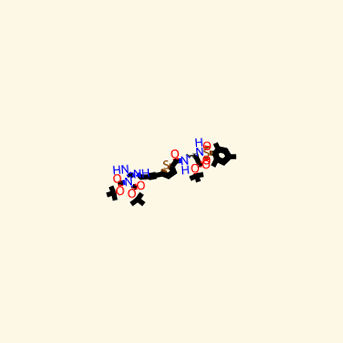 Cc1cc(C)c(S(=O)(=O)N[C@@H](CNC(=O)c2ccc(C#CCNC(=N)N(C(=O)OC(C)(C)C)C(=O)OC(C)(C)C)s2)C(=O)OC(C)(C)C)c(C)c1